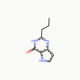 CCCc1nc2cc[nH]c2c(=O)[nH]1